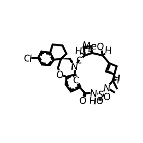 CO[C@@H]1C2=C[C@@H](C2)[C@H](C)N(C)S(=O)(=O)NC(=O)c2ccc3c(c2)N(C[C@@H]2CC[C@H]21)C[C@@]1(CCCc2cc(Cl)ccc21)CO3